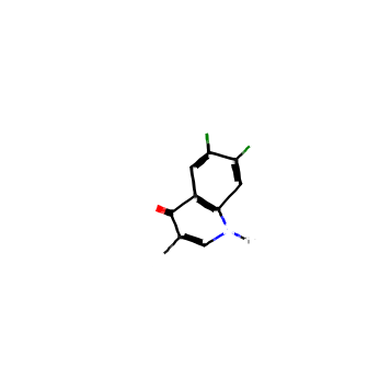 CCOC(=O)c1cn(C(C)C)c2cc(Cl)c(F)cc2c1=O